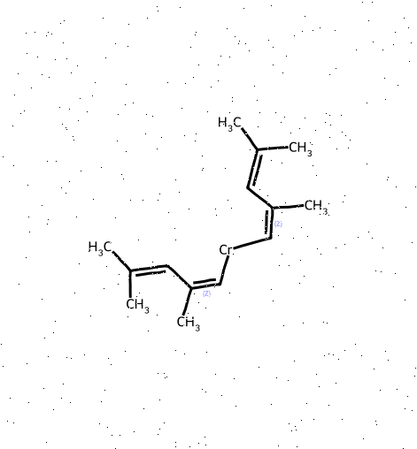 CC(C)=C/C(C)=[CH]\[Cr]/[CH]=C(/C)C=C(C)C